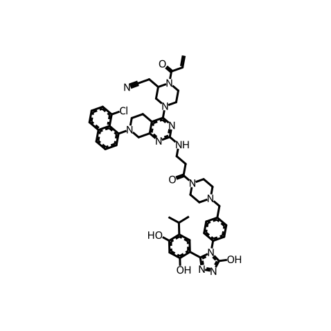 C=CC(=O)N1CCN(c2nc(NCCC(=O)N3CCN(Cc4ccc(-n5c(O)nnc5-c5cc(C(C)C)c(O)cc5O)cc4)CC3)nc3c2CCN(c2cccc4cccc(Cl)c24)C3)CC1CC#N